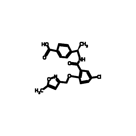 Cc1cc(COc2ccc(Cl)cc2C(=O)N[C@@H](C)c2ccc(C(=O)O)cc2)no1